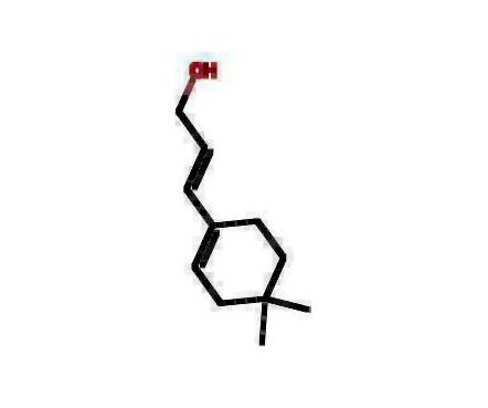 CC1(C)CC=C(/C=C/CO)CC1